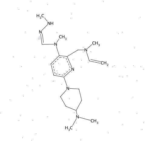 C=CN(C)Cc1nc(N2CCC(N(C)C)CC2)ccc1N(C)/C=N\NC